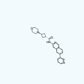 O=C(Nc1cc2cc(-c3cccnn3)ccc2cn1)[C@H]1C[C@H](N2CCOCC2)C1